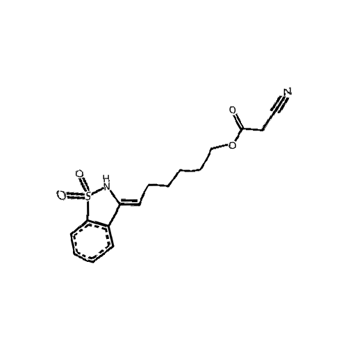 N#CCC(=O)OCCCCCC=C1NS(=O)(=O)c2ccccc21